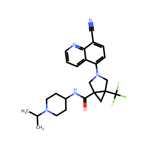 CC(C)N1CCC(NC(=O)C23CN(c4ccc(C#N)c5ncccc45)CC2(C(F)(F)F)C3)CC1